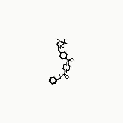 CC(C)(C)ON(C=O)CC1CCC(C(=O)N2CCN(C(=O)OCc3ccccc3)CC2)CC1